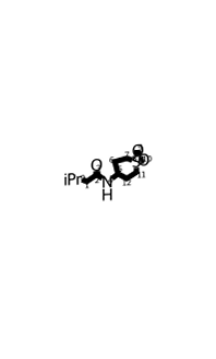 CC(C)CC(=O)NC1CCS(=O)(=O)CC1